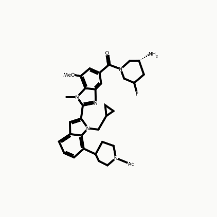 COc1cc(C(=O)N2CC(F)C[C@@H](N)C2)cc2nc(-c3cc4cccc(C5CCN(C(C)=O)CC5)c4n3CC3CC3)n(C)c12